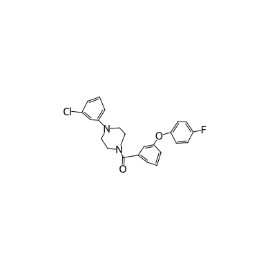 O=C(c1cccc(Oc2ccc(F)cc2)c1)N1CCN(c2cccc(Cl)c2)CC1